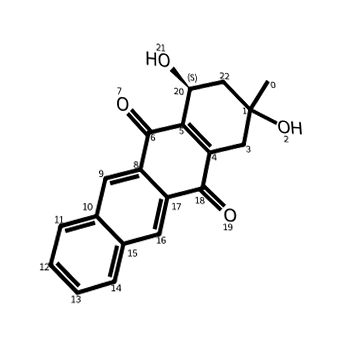 CC1(O)CC2=C(C(=O)c3cc4ccccc4cc3C2=O)[C@@H](O)C1